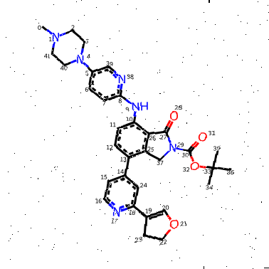 CN1CCN(c2ccc(Nc3ccc(-c4ccnc(C5=COCC5)c4)c4c3C(=O)N(C(=O)OC(C)(C)C)C4)nc2)CC1